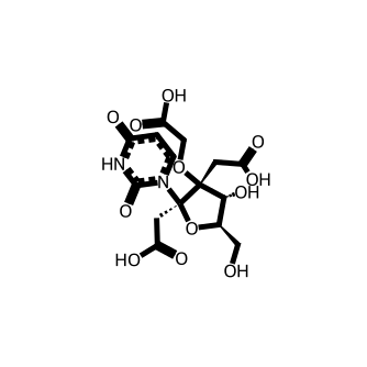 O=C(O)CO[C@]1(CC(=O)O)[C@H](O)[C@@H](CO)O[C@@]1(CC(=O)O)n1ccc(=O)[nH]c1=O